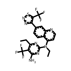 CCc1nc(N(CC)c2ccnc3cc(-c4nnsc4C(F)(F)F)ccc23)nc(N)c1C(F)(F)F